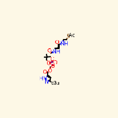 CC(=O)SCCNC(=O)CCNC(=O)[C@@H]1OP(=O)(OCOC(=O)c2cc(C(C)(C)C)n[nH]2)OCC1(C)C